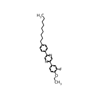 CCCCCCCCCc1ccc(-c2cnc(-c3ccc(OCC)c(F)c3)cn2)cc1